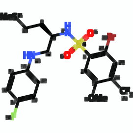 COc1cc(S(=O)(=O)N[C@H](CCSC)CNc2ccc(F)cc2)c(Br)cc1C(F)(F)F